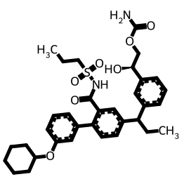 CCCS(=O)(=O)NC(=O)c1cc(C(CC)c2cccc([C@@H](O)COC(N)=O)c2)ccc1-c1cccc(OC2CCCCC2)c1